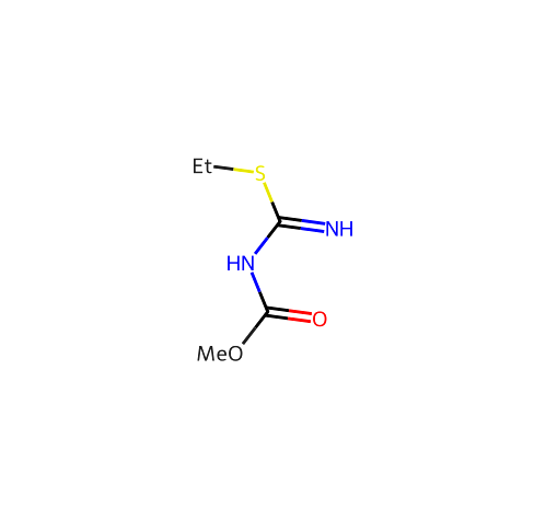 CCSC(=N)NC(=O)OC